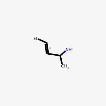 CC/C=C/C(C)[NH]